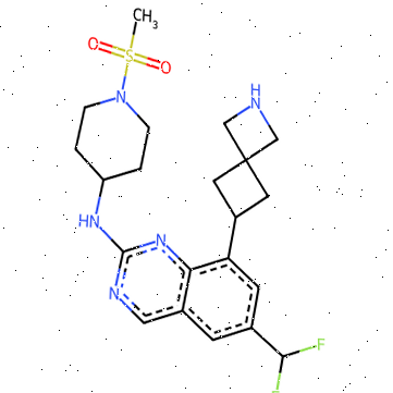 CS(=O)(=O)N1CCC(Nc2ncc3cc(C(F)F)cc(C4CC5(CNC5)C4)c3n2)CC1